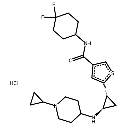 Cl.O=C(NC1CCC(F)(F)CC1)c1csc([C@@H]2C[C@H]2NC2CCN(C3CC3)CC2)c1